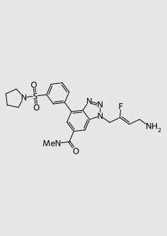 CNC(=O)c1cc(-c2cccc(S(=O)(=O)N3CCCC3)c2)c2nnn(C/C(F)=C/CN)c2c1